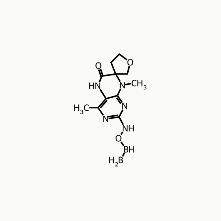 BBONc1nc(C)c2c(n1)N(C)C1(CCOC1)C(=O)N2